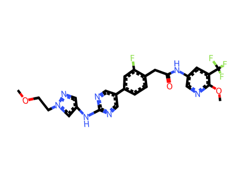 COCCn1cc(Nc2ncc(-c3ccc(CC(=O)Nc4cnc(OC)c(C(F)(F)F)c4)c(F)c3)cn2)cn1